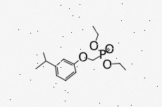 CCOP(=O)(COc1cccc(C(C)C)c1)OCC